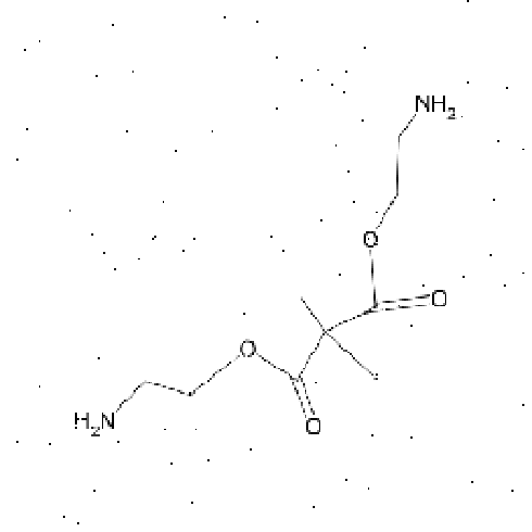 CC(C)(C(=O)OCCN)C(=O)OCCN